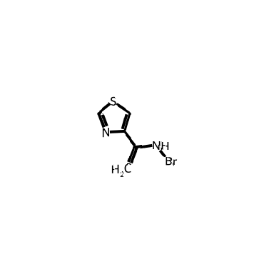 C=C(NBr)c1cscn1